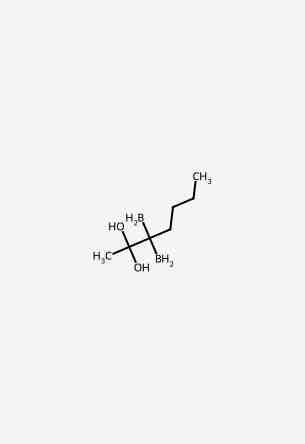 BC(B)(CCCC)C(C)(O)O